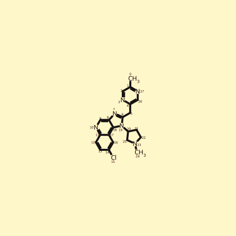 Cc1cnc(Cc2nc3cnc4ccc(Cl)cc4c3n2C2CCN(C)C2)cn1